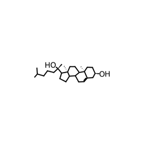 CC(C)CCC[C@](C)(O)C1CCC2C3CC=C4C[C@H](O)CC[C@]4(C)C3CC[C@@]21C